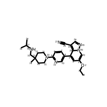 CCOc1cc(-c2ccc(N3CCC(C)(CNC(C)C)CC3)nc2)c2c(C#N)cnn2c1